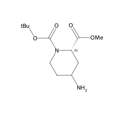 COC(=O)[C@@H]1CC(N)CCN1C(=O)OC(C)(C)C